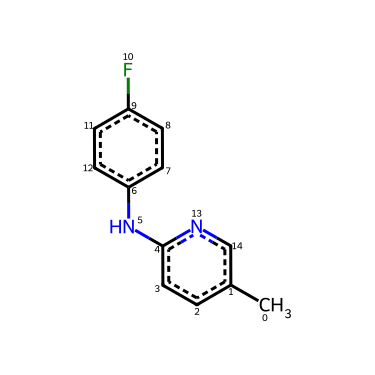 Cc1ccc(Nc2ccc(F)cc2)nc1